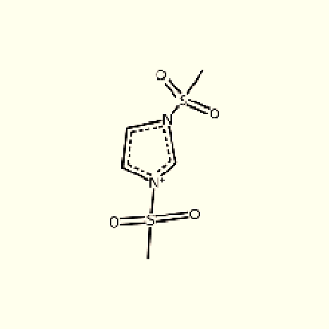 CS(=O)(=O)n1cc[n+](S(C)(=O)=O)c1